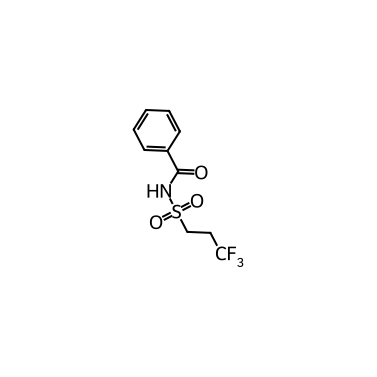 O=C(NS(=O)(=O)CCC(F)(F)F)c1ccccc1